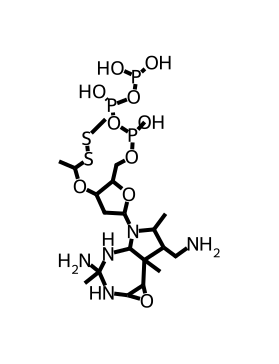 CSSC(C)OC1CC(N2C(C)C(CN)C3(C)C4OC4NC(C)(N)NC23)OC1COP(O)OP(O)OP(O)O